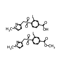 COC(=O)c1ccc(S(=O)(=O)Cc2ccn(C)n2)c(I)c1.Cn1ccc(CS(=O)(=O)c2ccc(C(=O)O)cc2I)n1